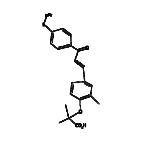 CCCSc1ccc(C(=O)C=Cc2ccc(OC(C)(C)C(=O)O)c(C)c2)cc1